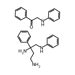 NCCC(N)(CNc1ccccc1)c1ccccc1.O=C(CNc1ccccc1)c1ccccc1